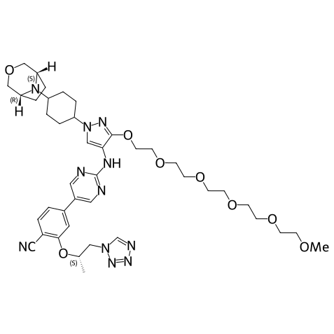 COCCOCCOCCOCCOCCOc1nn(C2CCC(N3[C@@H]4CC[C@H]3COC4)CC2)cc1Nc1ncc(-c2ccc(C#N)c(O[C@@H](C)Cn3cnnn3)c2)cn1